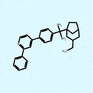 BC(B)(c1ccc(-c2ccnc(-c3ccccc3)c2)cc1)C12CCC(CC(CC)C1)C2